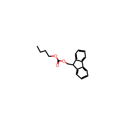 CCCCOC(=O)OCC1c2ccccc2-c2ccccc21